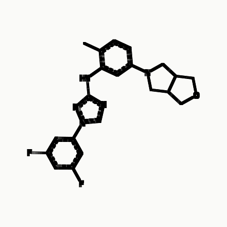 Cc1ccc(N2CC3COCC3C2)cc1Nc1ncn(-c2cc(F)cc(F)c2)n1